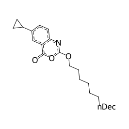 CCCCCCCCCCCCCCCCOc1nc2ccc(C3CC3)cc2c(=O)o1